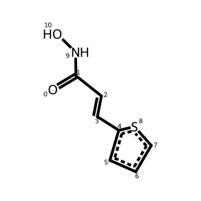 O=C(C=Cc1cccs1)NO